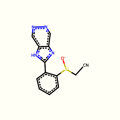 N#CC[S+]([O-])c1ccccc1-c1nc2cnncc2[nH]1